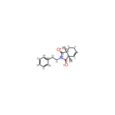 O=C1[C@H]2C=CCC[C@H]2C(=O)N1CCc1ccccc1